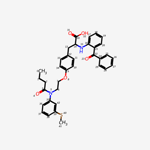 CCCC(=O)N(CCOc1ccc(CC(Nc2ccccc2C(=O)c2ccccc2)C(=O)O)cc1)c1cccc(SC)c1